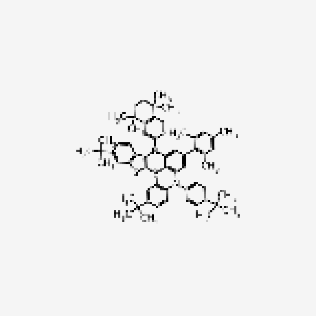 Cc1cc(C)c(-c2cc3c4c(c2)N(c2ccc5c(c2)C(C)(C)CCC5(C)C)c2c(sc5cc(C(C)(C)C)ccc25)B4c2cc(C(C)(C)C)ccc2N3c2ccc(C(C)(C)C)cc2)c(C)c1